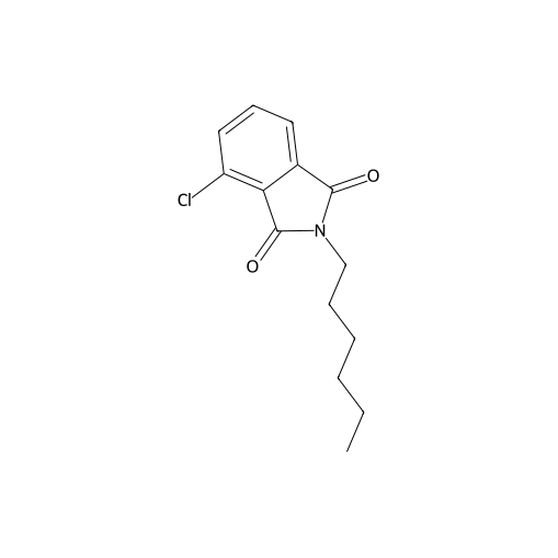 CCCCCCN1C(=O)c2cccc(Cl)c2C1=O